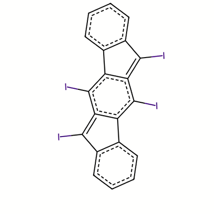 IC1=c2c(I)c3c(c(I)c2-c2ccccc21)=C(I)c1ccccc1-3